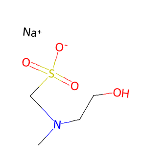 CN(CCO)CS(=O)(=O)[O-].[Na+]